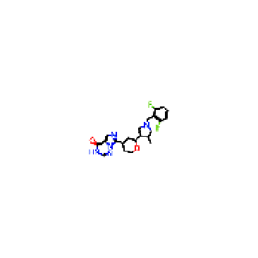 CC1CN(Cc2c(F)cccc2F)CC1C1CC(c2ncc3c(=O)[nH]cnn23)CCO1